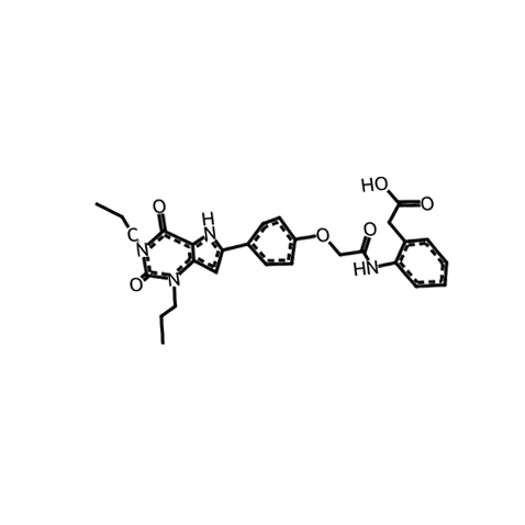 CCCn1c(=O)c2[nH]c(-c3ccc(OCC(=O)Nc4ccccc4CC(=O)O)cc3)cc2n(CCC)c1=O